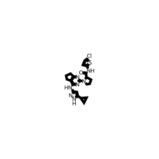 O=C(Nc1ccc(Cl)s1)C1CCCN1c1nc2c(c(Nc3cc(C4CC4)[nH]n3)n1)CCC2